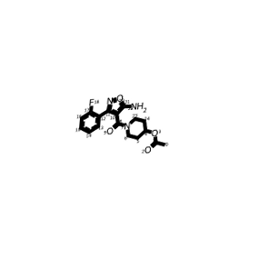 CC(=O)OC1CCN(C(=O)c2c(-c3ccccc3F)noc2N)CC1